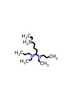 C=C[SiH2]CCCC(N(CC)CCC)N(CC)CCC